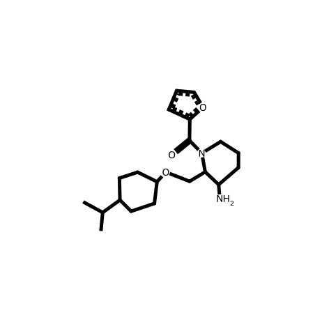 CC(C)C1CCC(OCC2C(N)CCCN2C(=O)c2ccco2)CC1